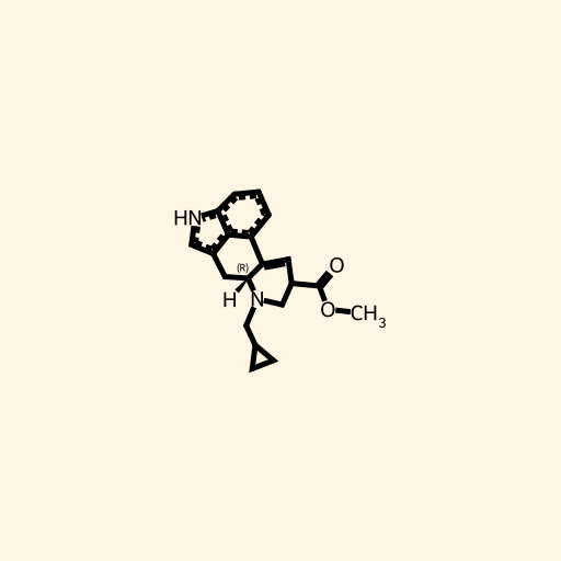 COC(=O)C1C=C2c3cccc4[nH]cc(c34)C[C@H]2N(CC2CC2)C1